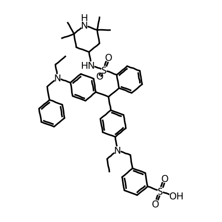 CCN(Cc1ccccc1)c1ccc(C(c2ccc(N(CC)Cc3cccc(S(=O)(=O)O)c3)cc2)c2ccccc2S(=O)(=O)NC2CC(C)(C)NC(C)(C)C2)cc1